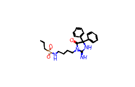 CCCS(=O)(=O)NCCCCN1C(=N)NC(c2ccccc2)(c2ccccc2)C1=O